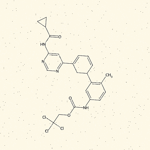 Cc1ccc(NC(=O)OCC(Cl)(Cl)Cl)cc1C1C=CC=C(c2cc(NC(=O)C3CC3)ncn2)C1